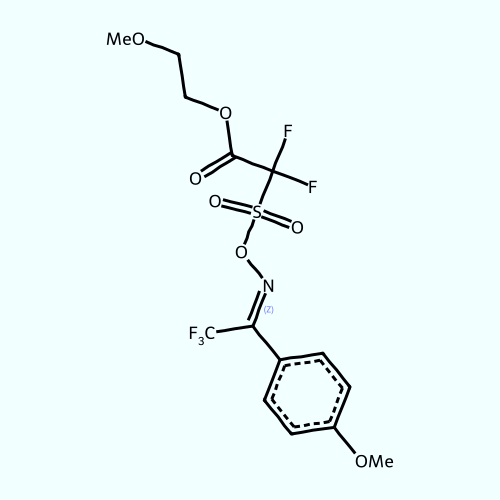 COCCOC(=O)C(F)(F)S(=O)(=O)O/N=C(/c1ccc(OC)cc1)C(F)(F)F